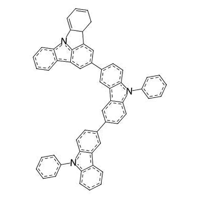 C1=CCC2C(=C1)n1c3ccccc3c3cc(-c4ccc5c(c4)c4cc(-c6ccc7c(c6)c6ccccc6n7-c6ccccc6)ccc4n5-c4ccccc4)cc2c31